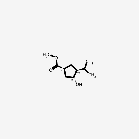 COC(=O)[C@@H]1C[C@@H](O)[C@H](C(C)C)C1